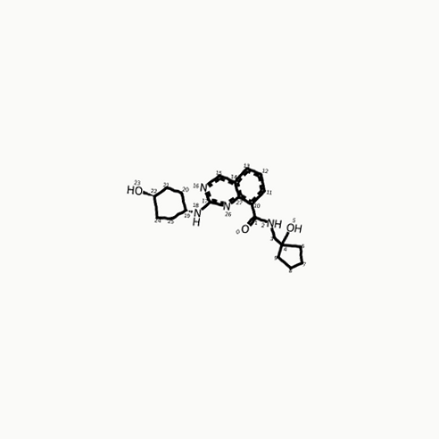 O=C(NCC1(O)CCCC1)c1cccc2cnc(N[C@H]3CC[C@H](O)CC3)nc12